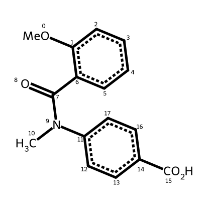 COc1ccccc1C(=O)N(C)c1ccc(C(=O)O)cc1